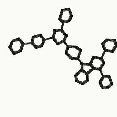 c1ccc(-c2ccc(-c3cc(-c4ccc(-n5c6ccccc6c6c(-c7ccccc7)cc(-c7ccccc7)cc65)cc4)nc(-c4ccccc4)n3)cc2)cc1